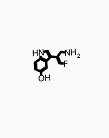 NCC(=CF)c1c[nH]c2ccc(O)cc12